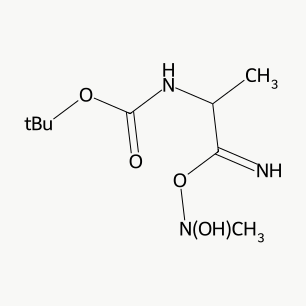 CC(NC(=O)OC(C)(C)C)C(=N)ON(C)O